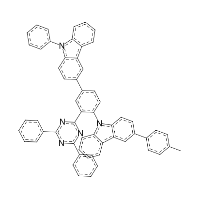 Cc1ccc(-c2ccc3c(c2)c2ccccc2n3-c2ccc(-c3ccc4c(c3)c3ccccc3n4-c3ccccc3)cc2-c2nc(-c3ccccc3)nc(-c3ccccc3)n2)cc1